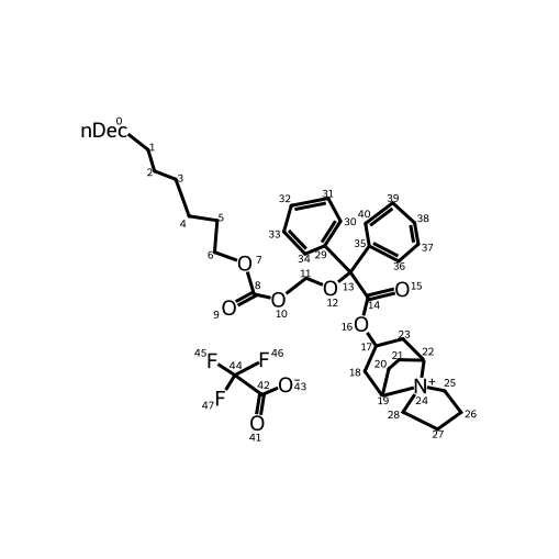 CCCCCCCCCCCCCCCCOC(=O)OCOC(C(=O)OC1CC2CCC(C1)[N+]21CCCC1)(c1ccccc1)c1ccccc1.O=C([O-])C(F)(F)F